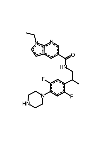 CCn1ccc2cc(C(=O)NCC(C)c3cc(F)c(N4CCNCC4)cc3F)cnc21